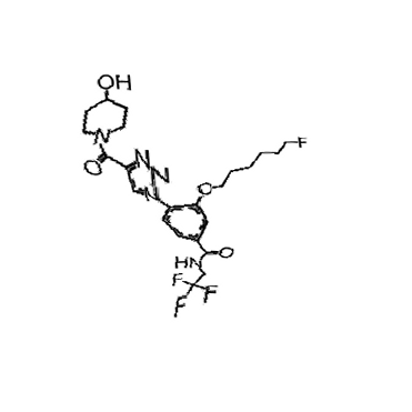 O=C(NCC(F)(F)F)c1ccc(-n2cc(C(=O)N3CCC(O)CC3)nn2)c(OCCCCCCF)c1